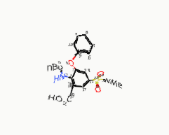 CCCCNc1c(Oc2ccccc2)cc(S(=O)(=O)NC)cc1C(=O)O